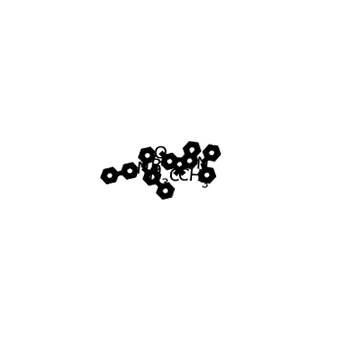 CC1(C)c2cc3c(cc2-c2c1cc(N(c1ccccc1)c1ccccc1)c1ccccc21)Oc1cccc2c1B3c1cc(-c3ccccc3)ccc1N2c1ccc(-c2ccccc2)cc1